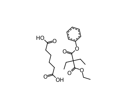 CCOC(=O)C(CC)(CC)C(=O)Oc1ccccc1.O=C(O)CCCCC(=O)O